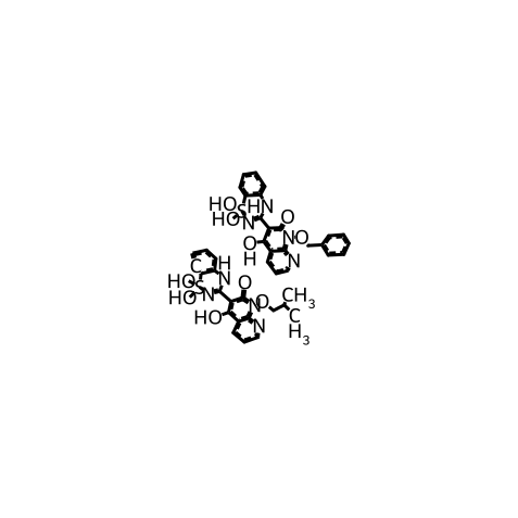 CC(C)COn1c(=O)c(C2=NS(O)(O)c3ccccc3N2)c(O)c2cccnc21.O=c1c(C2=NS(O)(O)c3ccccc3N2)c(O)c2cccnc2n1OCc1ccccc1